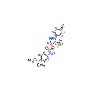 CC(C)c1ccc(NC(=O)Oc2cnn(-c3ccc(Cl)cc3)c2C(F)(F)F)cc1